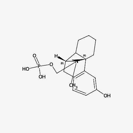 C[N+]1(COP(=O)(O)O)C[C@]23CCCCC2[C@H]1Cc1ccc(O)cc13